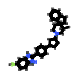 C[C@H]1CN(C2CCC(c3ccc(-c4nc5cc(F)ccc5[nH]4)cc3)C2)CCC12C=Cc1ccccc12